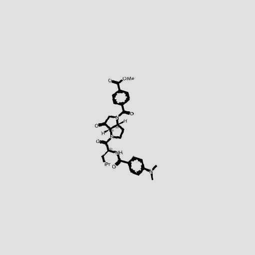 COC(=O)c1ccc(C(=O)N2CC(=O)[C@@H]3[C@H]2CCN3C(=O)[C@H](CC(C)C)NC(=O)c2ccc(N(C)C)cc2)cc1